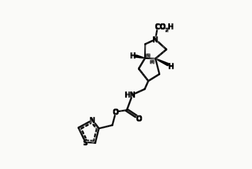 O=C(NCC1C[C@@H]2CN(C(=O)O)C[C@@H]2C1)OCc1cscn1